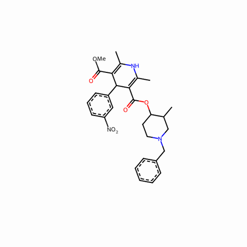 COC(=O)C1=C(C)NC(C)=C(C(=O)OC2CCN(Cc3ccccc3)CC2C)C1c1cccc([N+](=O)[O-])c1